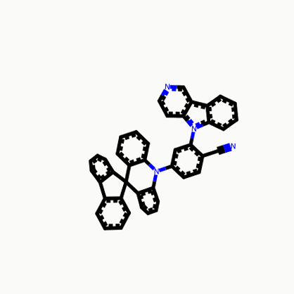 N#Cc1ccc(N2c3ccccc3C3(c4ccccc4-c4ccccc43)c3ccccc32)cc1-n1c2ccccc2c2cnccc21